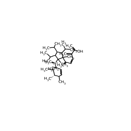 C=C(O)C(=C)/C=C\C(=C)C1(C)C(C(C)C)C(C(C)C)C(C(C)C)C1(C)[N+](=C)C(=C)/C=C\C(C)[C@H](C)C(C)C